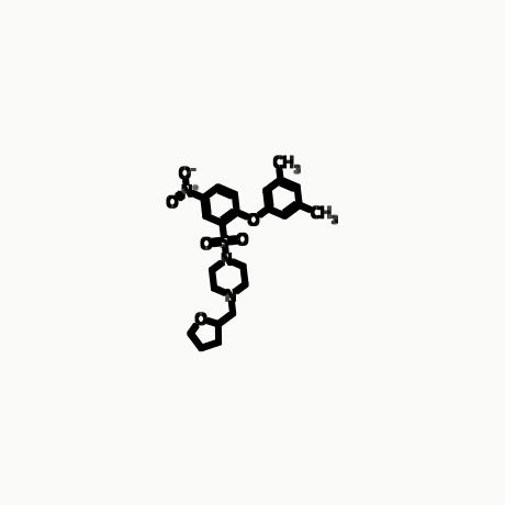 Cc1cc(C)cc(Oc2ccc([N+](=O)[O-])cc2S(=O)(=O)N2CCN(CC3CCCO3)CC2)c1